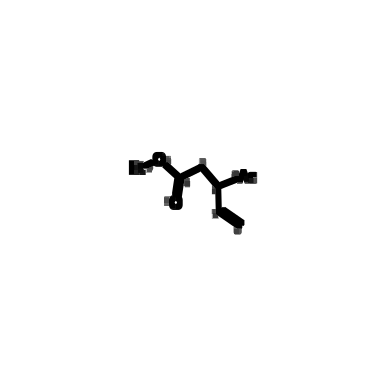 C=CC(CC(=O)OCC)C(C)=O